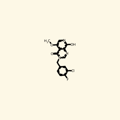 COc1cnc(O)c2ncn(Cc3ccc(F)c(Cl)c3)c(=O)c12